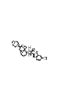 O=C(CN1CCC[C@H](NS(=O)(=O)c2cc3ccc(Cl)cc3s2)C1=O)N1CCOCC1